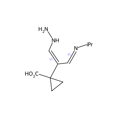 CC(C)/N=C/C(=C\NN)C1(C(=O)O)CC1